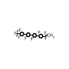 C/C(F)=C(\F)c1ccc(-c2ccc(-c3ccc(-c4cc(F)c(C(F)(F)F)c(F)c4)c(F)c3)c(F)c2)c(F)c1